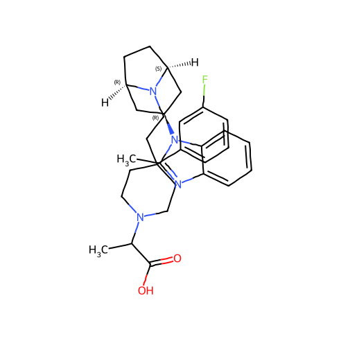 Cc1nc2ccccc2n1[C@H]1C[C@H]2CC[C@@H](C1)N2CCC1(c2cccc(F)c2)CCN(C(C)C(=O)O)CC1